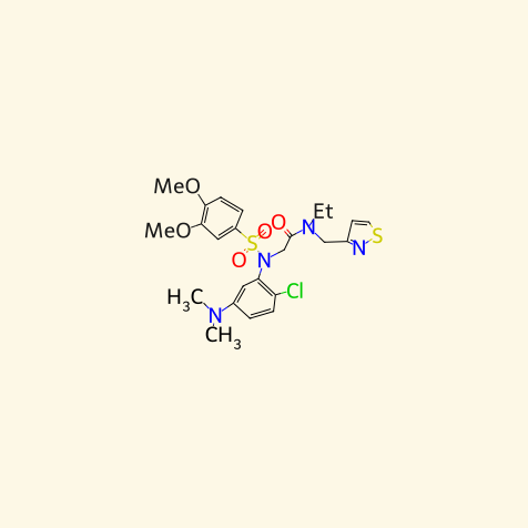 CCN(Cc1ccsn1)C(=O)CN(c1cc(N(C)C)ccc1Cl)S(=O)(=O)c1ccc(OC)c(OC)c1